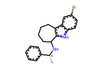 C[C@@H](NC1CCCCc2c1[nH]c1ccc(Br)cc21)c1ccccc1